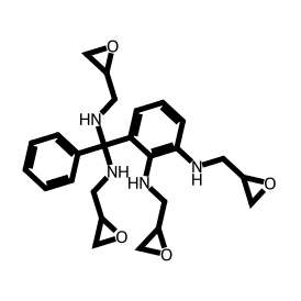 c1ccc(C(NCC2CO2)(NCC2CO2)c2cccc(NCC3CO3)c2NCC2CO2)cc1